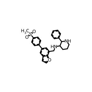 CS(=O)(=O)c1ccc(-c2cc(CNC3CCCNC3c3ccccc3)c3occc3c2)cc1